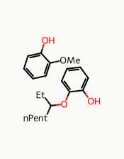 CCCCCC(CC)Oc1ccccc1O.COc1ccccc1O